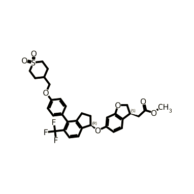 COC(=O)C[C@@H]1COc2cc(O[C@@H]3CCc4c3ccc(C(F)(F)F)c4-c3ccc(OCC4CCS(=O)(=O)CC4)cc3)ccc21